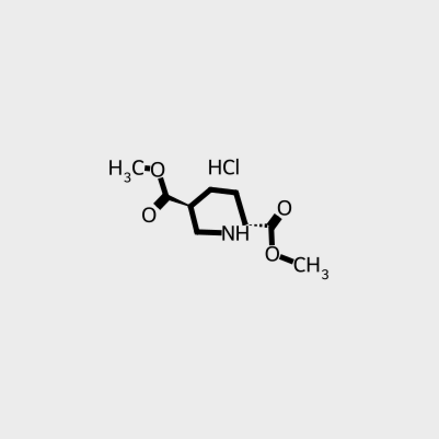 COC(=O)[C@H]1CC[C@H](C(=O)OC)NC1.Cl